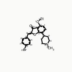 CCOc1ccc(C2CCN(C)CC2)c2c1C(=O)/C(=C/c1ccc(Br)cc1)O2